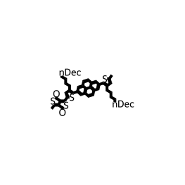 CCCCCCCCCCCCCCc1cc(C)sc1-c1cc2ccc3cc(-c4sc(C5=C6C(=O)SC(C)=C6C(=O)S5)cc4CCCCCCCCCCCCCC)cc4ccc(c1)c2c34